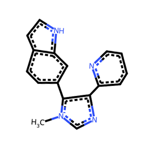 Cn1cnc(-c2ccccn2)c1-c1ccc2cc[nH]c2c1